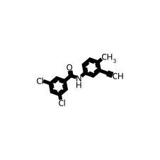 C#Cc1cc(NC(=O)c2cc(Cl)cc(Cl)c2)ccc1C